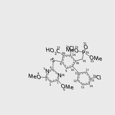 COc1cc(OC)nc(Sc2cc(-c3cccc(Cl)c3)c(CP(=O)(OC)OC)c(Cl)c2C(=O)O)n1